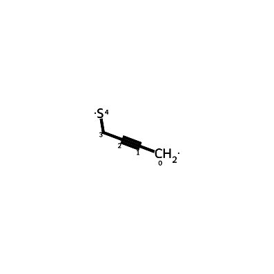 [CH2]C#CC[S]